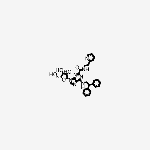 O=C(NCCc1ccccn1)c1nc(NCC(c2ccccc2)c2ccccc2)c2ncn([C@@H]3O[C@H](CO)C(O)[C@@H]3O)c2n1